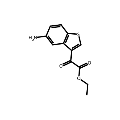 CCOC(=O)C(=O)c1csc2ccc(N)cc12